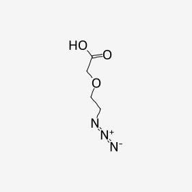 [N-]=[N+]=NCCOCC(=O)O